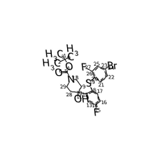 CC(C)(C)OC(=O)N1CCC(O)(c2cc(F)ccc2Sc2ccc(Br)cc2F)CC1